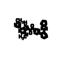 COc1cnc(-n2cnc(C)n2)c2[nH]cc(C(=O)C(=O)N3CCN(c4ccccc4-c4nc5ccccc5s4)CC3)c12